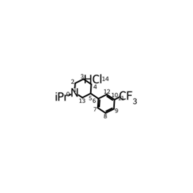 CC(C)N1CCCC(c2cccc(C(F)(F)F)c2)C1.Cl